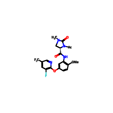 COc1ccc(Oc2ncc(C(F)(F)F)cc2F)cc1NC(=O)[C@@H]1CN(C)C(=O)N1C(C)=O